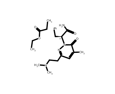 CCOC(=O)CC.Cc1cc(CCN(C)C)nn([C@@H](CC(C)C)C(N)=O)c1=O